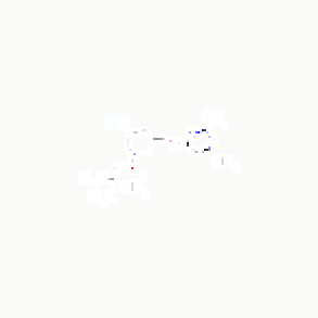 Cc1cc(OCC2CC(O)CN(C(=O)OC(C)(C)C)C2)nc(C)n1